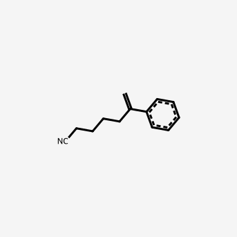 C=C(CCCCC#N)c1ccccc1